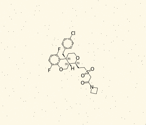 O=C(CS(=O)(=O)CC[C@@H]1OCC[C@@]2(Cc3ccc(Cl)cc3)c3c(F)ccc(F)c3OC[C@@H]12)N1CCC1